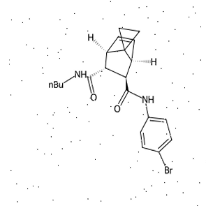 CCCCNC(=O)[C@H]1[C@H](C(=O)Nc2ccc(Br)cc2)[C@@H]2C=C[C@H]1C21CC1